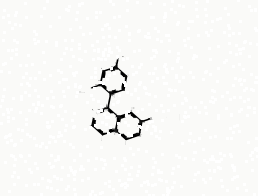 O=C(O)c1ccc2ccnc(-c3ccc(Cl)cc3F)c2c1